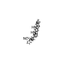 N#CCC(C1CCCC1)n1cc(-c2ccnc(Nc3cccc(NC(=O)CN4CCCC4)c3)n2)cn1